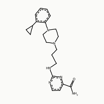 NC(=O)c1ccnc(NCCCN2CCN(c3ccccc3C3CC3)CC2)n1